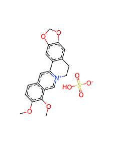 COc1ccc2cc3[n+](cc2c1OC)CCc1cc2c(cc1-3)OCO2.O=S(=O)([O-])O